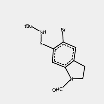 CC(C)(C)NSc1cc2c(cc1Br)CCN2C=O